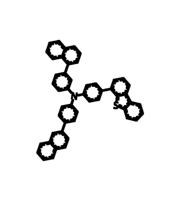 c1cc(-c2cccc3ccccc23)cc(N(c2ccc(-c3ccc4ccccc4c3)cc2)c2ccc(-c3cccc4c3sc3ccccc34)cc2)c1